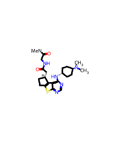 CNC(=O)CNC(=O)C[C@H]1CCc2sc3ncnc(N[C@H]4CC[C@H](N(C)C)CC4)c3c21